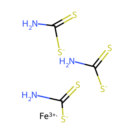 NC(=S)[S-].NC(=S)[S-].NC(=S)[S-].[Fe+3]